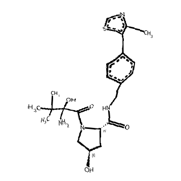 Cc1ncsc1-c1ccc(CNC(=O)[C@@H]2C[C@@H](O)CN2C(=O)C(N)(O)C(C)(C)C)cc1